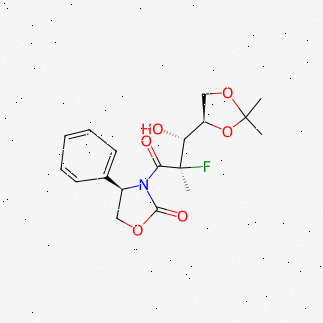 CC1(C)OC[C@H]([C@@H](O)[C@@](C)(F)C(=O)N2C(=O)OC[C@H]2c2ccccc2)O1